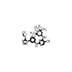 CN1C(C)(C)CC(Nc2nc(Nc3cccc(-n4nnnc4SCC(F)(F)F)c3)ncc2C#N)CC1(C)C